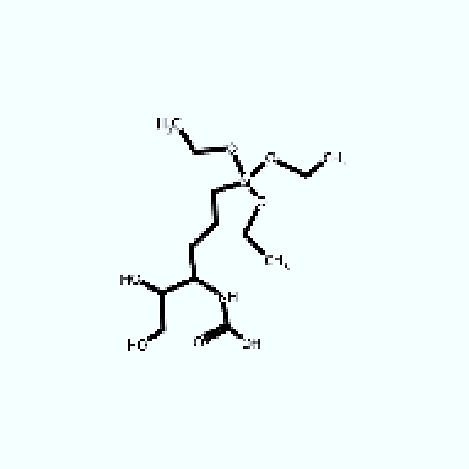 CCO[Si](CCCC(NC(=O)O)C(O)CO)(OCC)OCC